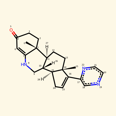 C[C@]12CCC(=O)C=C1NC[C@@H]1[C@@H]2CC[C@]2(C)C(c3cnccn3)=CC[C@@H]12